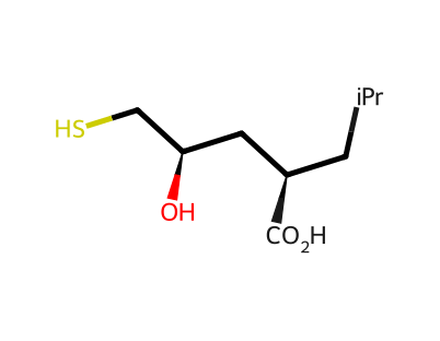 CC(C)C[C@H](C[C@@H](O)CS)C(=O)O